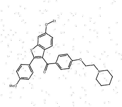 CCOc1ccc2c(C(=O)c3ccc(OCCN4CCCCC4)cc3)c(-c3ccc(OC)cc3)sc2c1